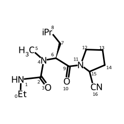 CCNC(=O)N(C)[C@@H](CC(C)C)C(=O)N1CCCC1C#N